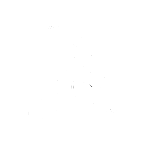 COCCn1cccc(N2C[C@@H](c3c(F)cc(OC)cc3F)C(NC(=O)c3ccc(OC(F)(F)F)cc3)C2=O)c1=O